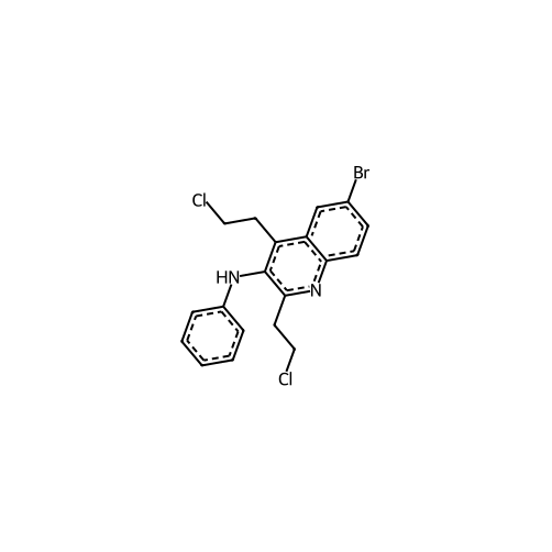 ClCCc1nc2ccc(Br)cc2c(CCCl)c1Nc1ccccc1